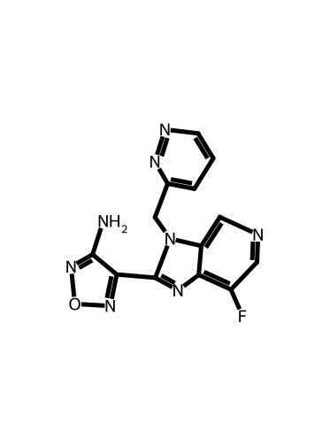 Nc1nonc1-c1nc2c(F)cncc2n1Cc1cccnn1